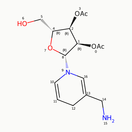 CC(=O)O[C@@H]1[C@H](OC(C)=O)[C@@H](CO)O[C@H]1N1C=CCC(CN)=C1